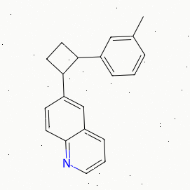 Cc1cccc(C2CCC2c2ccc3ncccc3c2)c1